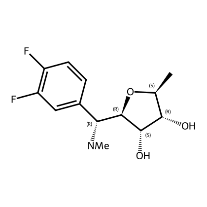 CN[C@H](c1ccc(F)c(F)c1)[C@H]1O[C@@H](C)[C@H](O)[C@@H]1O